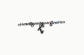 CCCCCC/C=C/COC(=O)CCCCCCCN(CCCCCCCC(=O)OC/C=C/CCCCCC)C(=O)OCCN(C)CCN(C)C